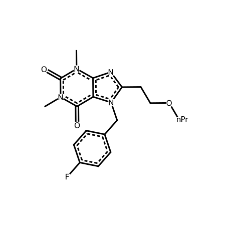 CCCOCCc1nc2c(c(=O)n(C)c(=O)n2C)n1Cc1ccc(F)cc1